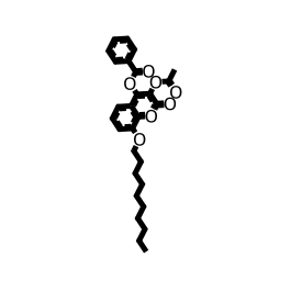 CCCCCCCCCCOc1cccc2c(OC(=O)c3ccccc3)c(OC(C)=O)c(=O)oc12